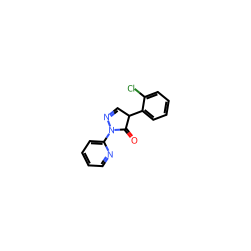 O=C1C(c2ccccc2Cl)C=NN1c1ccccn1